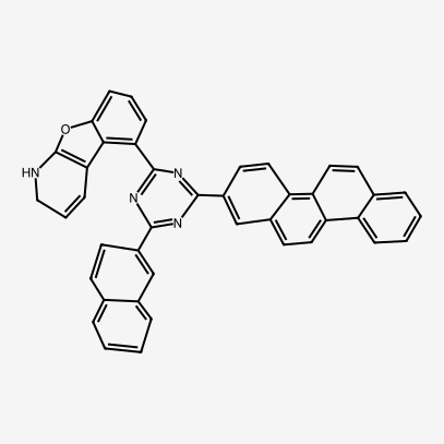 C1=Cc2c(oc3cccc(-c4nc(-c5ccc6ccccc6c5)nc(-c5ccc6c(ccc7c8ccccc8ccc67)c5)n4)c23)NC1